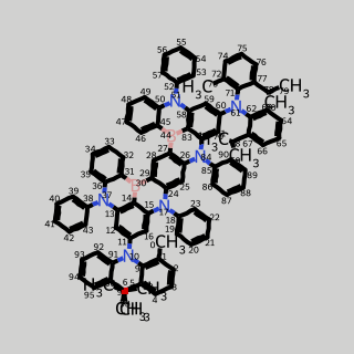 Cc1cccc(C(C)C)c1N(c1cc2c3c(c1)N(c1ccccc1)c1cc4c(cc1B3c1ccccc1N2c1ccccc1)B1c2ccccc2N(c2ccccc2)c2cc(N(c3ccccc3C(C)C)c3c(C)cccc3C(C)C)cc(c21)N4c1ccccc1)c1ccccc1C(C)C